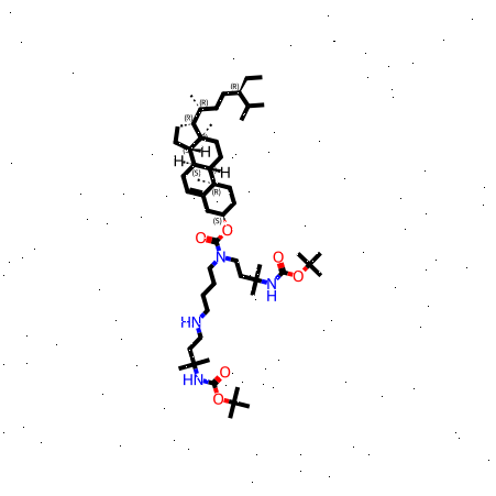 CC[C@H](CC[C@@H](C)[C@H]1CC[C@H]2[C@@H]3CC=C4C[C@@H](OC(=O)N(CCCCNCCC(C)(C)NC(=O)OC(C)(C)C)CCC(C)(C)NC(=O)OC(C)(C)C)CC[C@]4(C)[C@H]3CC[C@]12C)C(C)C